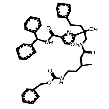 CC(CCNC(=O)OCc1ccccc1)CC(=O)NCC(O)(CCc1ccccc1)c1nc(C(=O)NC(c2ccccc2)c2ccccc2)co1